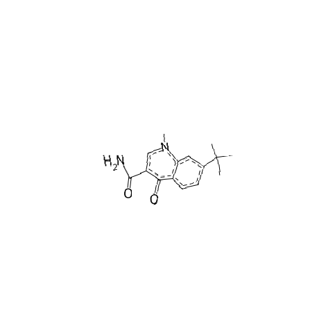 Cn1cc(C(N)=O)c(=O)c2ccc(C(C)(C)C)cc21